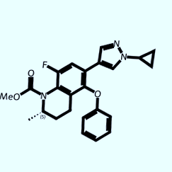 COC(=O)N1c2c(F)cc(-c3cnn(C4CC4)c3)c(Oc3ccccc3)c2CC[C@@H]1C